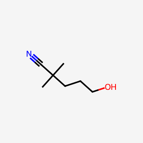 CC(C)(C#N)CCCO